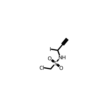 C#CC(I)NS(=O)(=O)CCl